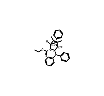 CCOC(=O)[C@H]1[C@H](P(c2ccccc2)c2ccccc2)[C@H]2C(C)=C(C)[C@@H]1[P@@]2c1ccccc1